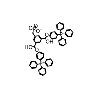 O=C(O)c1cc(CP(=O)([O-])[O-])cc(C(=O)O)c1.c1ccc([P+](c2ccccc2)(c2ccccc2)c2ccccc2)cc1.c1ccc([P+](c2ccccc2)(c2ccccc2)c2ccccc2)cc1